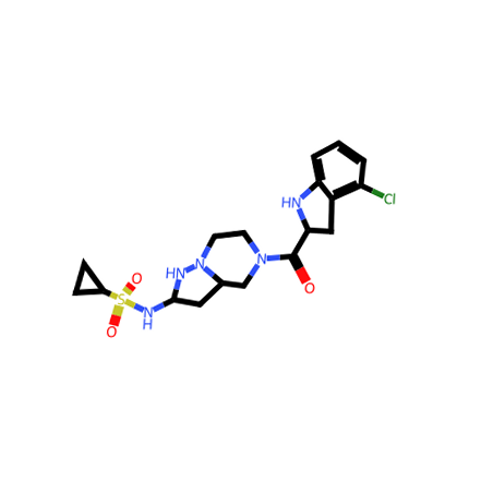 O=C(C1Cc2c(Cl)cccc2N1)N1CCN2NC(NS(=O)(=O)C3CC3)CC2C1